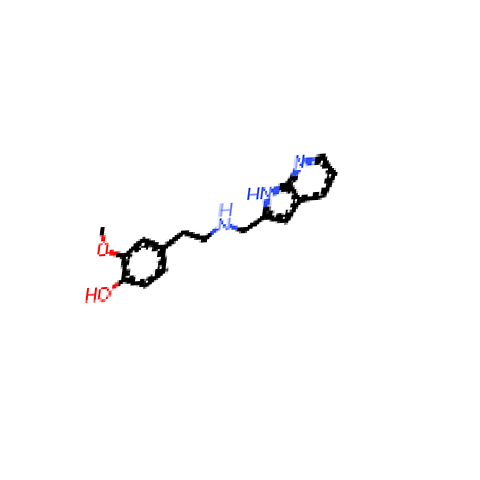 COc1cc(CCNCc2cc3cccnc3[nH]2)ccc1O